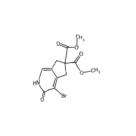 COC(=O)C1(C(=O)OC)Cc2c[nH]c(=O)c(Br)c2C1